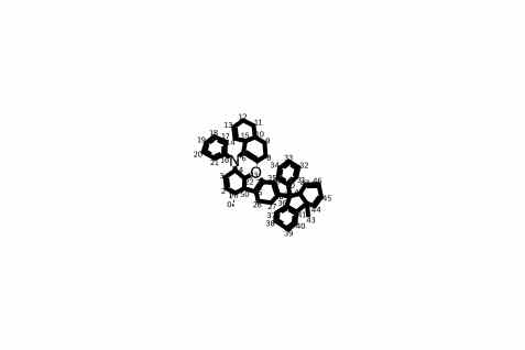 C[C@@H]1C=CC(N(C2=CCCC3CCC=CC23)c2ccccc2)C2OC3=C(CCC(C4(c5ccccc5)c5ccccc5C5(C)C=CC=CC54)=C3)C21